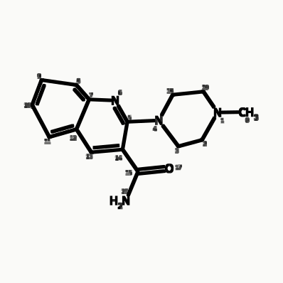 CN1CCN(c2nc3cc[c]cc3cc2C(N)=O)CC1